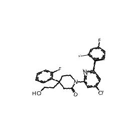 O=C1CC(CCO)(c2ccccc2F)CCN1c1cc(Cl)cc(-c2ccc(F)cc2F)n1